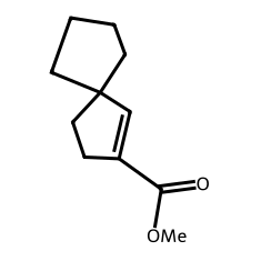 COC(=O)C1=CC2(CCCC2)CC1